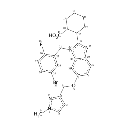 Cn1ccc(COc2ccc3nc(C4CCCCC4C(=O)O)n(Cc4cc(Br)ccc4F)c3c2)n1